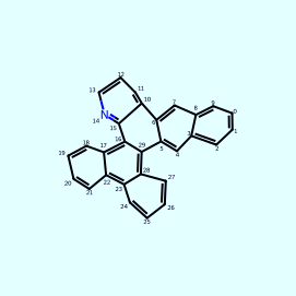 c1ccc2cc3c(cc2c1)c1cccnc1c1c2ccccc2c2ccccc2c31